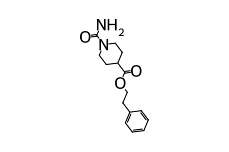 NC(=O)N1CCC(C(=O)OCCc2ccccc2)CC1